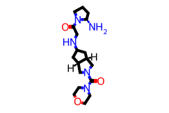 N[C@@H]1CCCN1C(=O)CNC1C[C@@H]2CN(C(=O)N3CCOCC3)C[C@@H]2C1